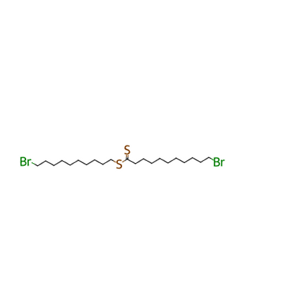 S=C(CCCCCCCCCCBr)SCCCCCCCCCCBr